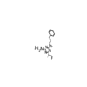 CC(CF)c1nc(N)nc(N(C)CCCc2ccccc2)n1